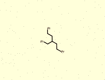 CC(C)CC[C](CCC(C)C)CC(C)C